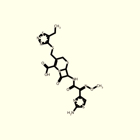 CCc1snnc1SCC1=C(C(=O)O)N2C(=O)C(NC(=O)C(=NOC)c3csc(N)n3)C2SC1